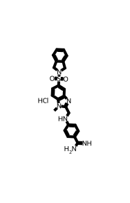 Cl.Cn1c(CNc2ccc(C(=N)N)cc2)nc2cc(S(=O)(=O)N3Cc4ccccc4C3)ccc21